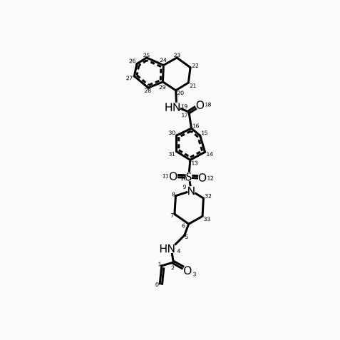 C=CC(=O)NCC1CCN(S(=O)(=O)c2ccc(C(=O)NC3CCCc4ccccc43)cc2)CC1